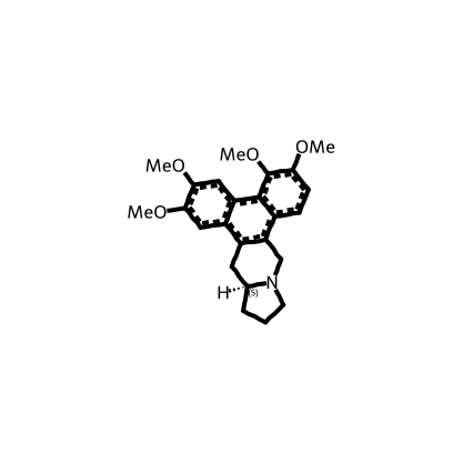 COc1cc2c3c(c4ccc(OC)c(OC)c4c2cc1OC)CN1CCC[C@H]1C3